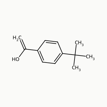 C=C(O)c1ccc(C(C)(C)C)cc1